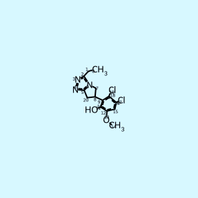 CCc1nnc2n1CC(c1c(O)c(OC)cc(Cl)c1Cl)C2